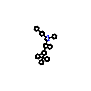 c1ccc(-c2ccc(-c3cc(-c4ccc(-c5ccc6c(c5)-c5ccccc5C6(c5ccccc5)c5ccccc5)c5ccccc45)nc(-c4ccccc4)n3)cc2)cc1